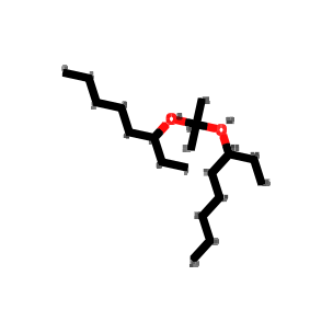 CCCCCC(CC)OC(C)(C)OC(CC)CCCCC